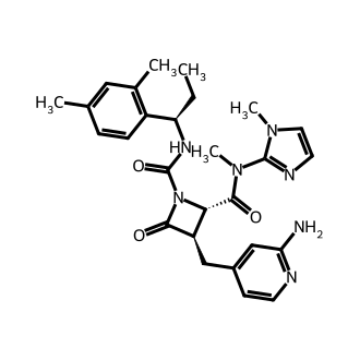 CC[C@@H](NC(=O)N1C(=O)[C@H](Cc2ccnc(N)c2)[C@H]1C(=O)N(C)c1nccn1C)c1ccc(C)cc1C